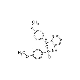 COc1ccc(S(=O)(=O)Nc2cccnc2Nc2ccc(SC)cc2)cc1